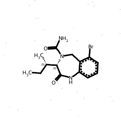 CC[C@H](C)[C@H]1C(=O)Nc2cccc(Br)c2CN1C(N)=O